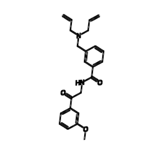 C=CCN(CC=C)Cc1cccc(C(=O)NCC(=O)c2cccc(OC)c2)c1